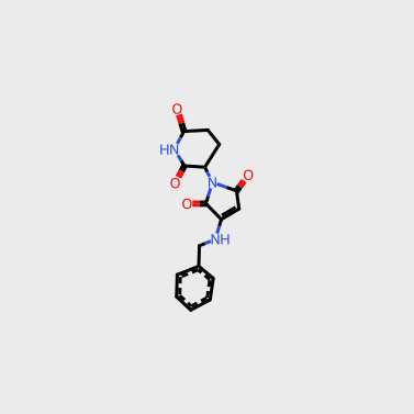 O=C1CCC(N2C(=O)C=C(NCc3ccccc3)C2=O)C(=O)N1